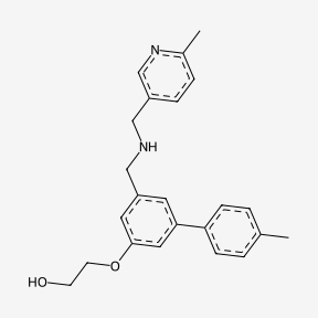 Cc1ccc(-c2cc(CNCc3ccc(C)nc3)cc(OCCO)c2)cc1